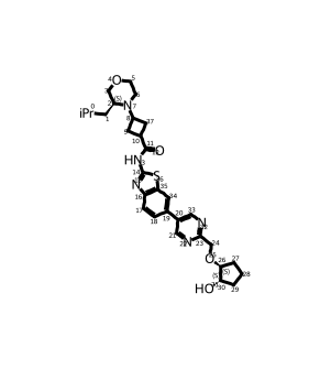 CC(C)C[C@H]1COCCN1C1CC(C(=O)Nc2nc3ccc(-c4cnc(CO[C@H]5CCC[C@@H]5O)nc4)cc3s2)C1